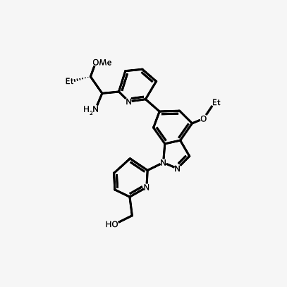 CCOc1cc(-c2cccc(C(N)[C@H](CC)OC)n2)cc2c1cnn2-c1cccc(CO)n1